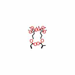 C=C(C)C(=O)OCCC[Si](OC)(OC)OC.C=CC(=O)OCCC[Si](OC)(OC)OC